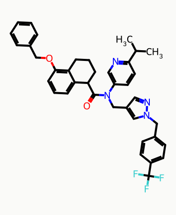 CC(C)c1ccc(N(Cc2cnn(Cc3ccc(C(F)(F)F)cc3)c2)C(=O)C2CCCc3c(OCc4ccccc4)cccc32)cn1